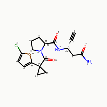 C#C[C@H](CC(N)=O)NC(=O)[C@@H]1CCCN1C(=O)C1(c2ccc(Cl)s2)CC1